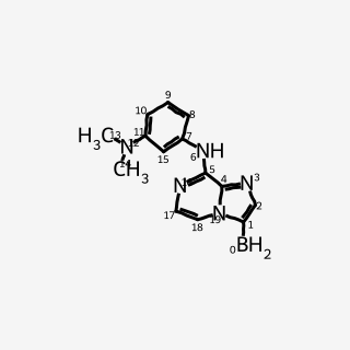 Bc1cnc2c(Nc3cccc(N(C)C)c3)nccn12